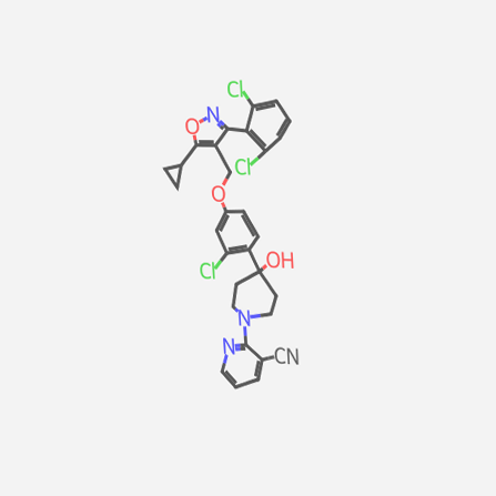 N#Cc1cccnc1N1CCC(O)(c2ccc(OCc3c(-c4c(Cl)cccc4Cl)noc3C3CC3)cc2Cl)CC1